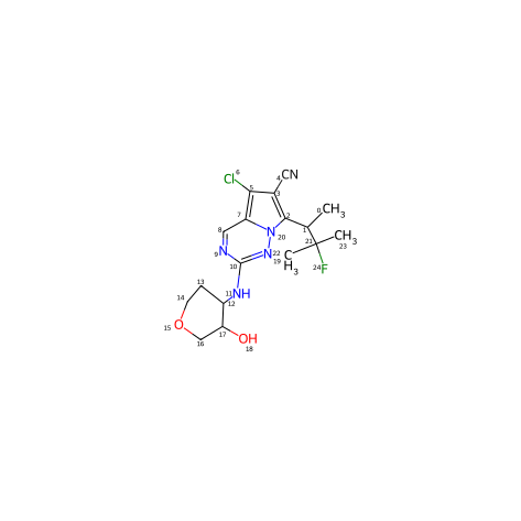 CC(c1c(C#N)c(Cl)c2cnc(NC3CCOCC3O)nn12)C(C)(C)F